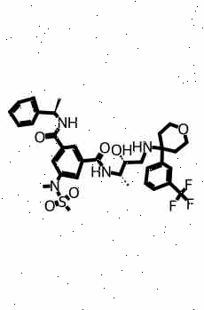 C[C@H](NC(=O)c1cc(C(=O)N[C@H](C)c2ccccc2)cc(N(C)S(C)(=O)=O)c1)[C@H](O)CNC1(c2cccc(C(F)(F)F)c2)CCOCC1